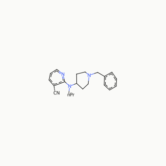 CCCN(c1ncccc1C#N)C1CCN(Cc2ccccc2)CC1